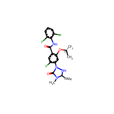 CNC1NN(c2cc(O[C@@H](C)C(F)(F)F)c(C(=O)Nc3c(F)cccc3F)cc2F)C(=O)N1C